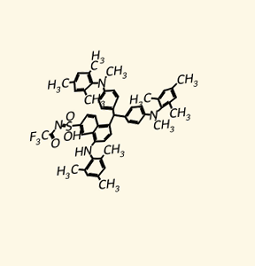 Cc1cc(C)c(Nc2ccc(C(c3ccc(N(C)c4c(C)cc(C)cc4C)cc3)c3ccc(N(C)c4c(C)cc(C)cc4C)cc3)c3ccc(S(=O)(O)=NC(=O)C(F)(F)F)cc23)c(C)c1